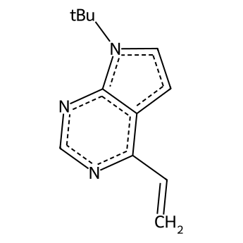 C=Cc1ncnc2c1ccn2C(C)(C)C